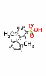 Cc1ccccc1-c1cc(S(=O)(=O)O)ccc1C